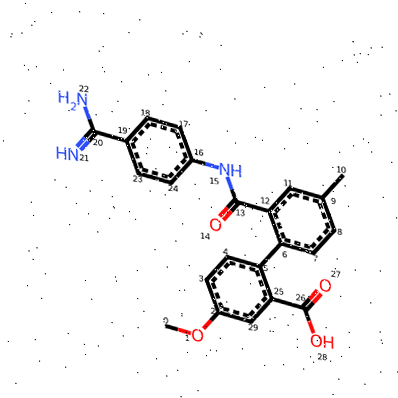 COc1ccc(-c2ccc(C)cc2C(=O)Nc2ccc(C(=N)N)cc2)c(C(=O)O)c1